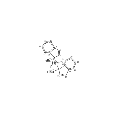 CCCC[C]1([Hf]([CH3])([CH3])[C]2(CCCC)C=Cc3ccccc32)C=Cc2ccccc21